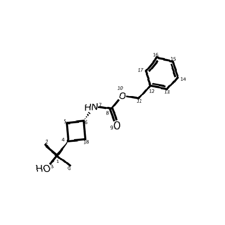 CC(C)(O)[C@H]1C[C@H](NC(=O)OCc2ccccc2)C1